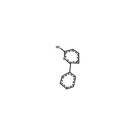 N#Cc1cccc(-c2ccccc2)n1